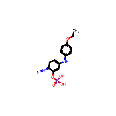 CCOc1ccc(NC2=CCC(=[N+]=[N-])C(OP(=O)(O)O)=C2)cc1